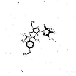 Cc1cn([C@H]2CC(O[Si](c3ccc(CO)cc3)(C(C)C)C(C)C)[C@@H](CO)O2)c(=O)[nH]c1=O